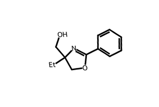 CCC1(CO)COC(c2ccccc2)=N1